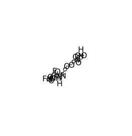 O=C1CCC(N2C(=O)c3ccc(OCCOc4ccc(-c5cnc6[nH]cc(C(=O)c7c(F)ccc(NS(=O)(=O)N8CC[C@@H](F)C8)c7F)c6c5)cc4)cc3C2=O)C(=O)N1